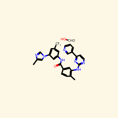 Cc1cn(-c2cc(NC(=O)c3ccc(C)c(Nc4nccc(-c5cccnc5)n4)c3)cc(C(F)(F)F)c2)cn1.O=CO